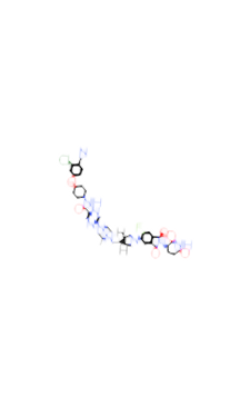 C[C@H]1CN(c2cnc(C(=O)N[C@H]3CC[C@H](Oc4ccc(C#N)c(Cl)c4)CC3)cn2)CCN1C[C@H]1[C@@H]2CN(c3cc4c(cc3F)C(=O)N(C3CCC(=O)NC3=O)C4=O)C[C@@H]21